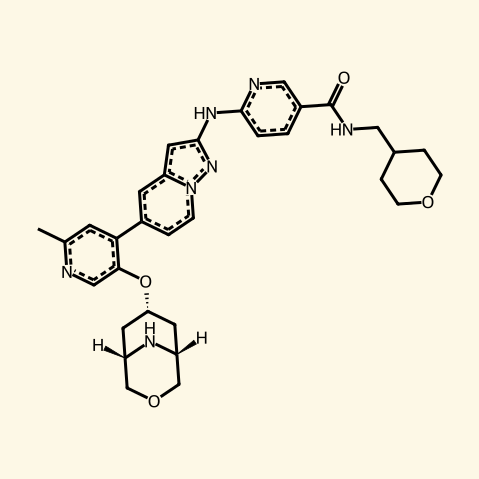 Cc1cc(-c2ccn3nc(Nc4ccc(C(=O)NCC5CCOCC5)cn4)cc3c2)c(O[C@H]2C[C@H]3COC[C@@H](C2)N3)cn1